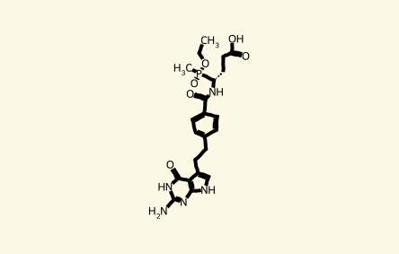 CCOP(C)(=O)[C@H](CCC(=O)O)NC(=O)c1ccc(CCc2c[nH]c3nc(N)[nH]c(=O)c23)cc1